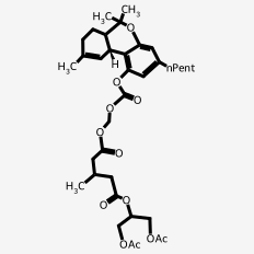 CCCCCc1cc(OC(=O)OCOC(=O)CC(C)CC(=O)OC(COC(C)=O)COC(C)=O)c2c(c1)OC(C)(C)C1CCC(C)=C[C@@H]21